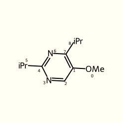 COc1cnc(C(C)C)nc1C(C)C